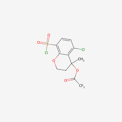 CC1(OC(=O)C(F)(F)F)CCOc2c(S(=O)(=O)Cl)ccc(Cl)c21